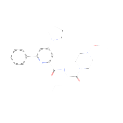 CCOC(=O)ON1CCN(C(=O)[C@H](CCC(=O)O)NC(=O)c2cc(N3CCCC3)cc(-c3ccccc3)n2)CC1